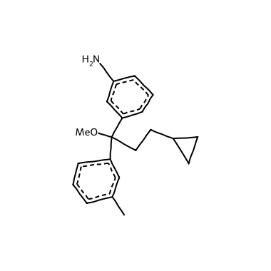 COC(CCC1CC1)(c1cccc(C)c1)c1cccc(N)c1